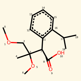 COCC(C)(OC)C(C(=O)O)c1ccccc1C(C)C